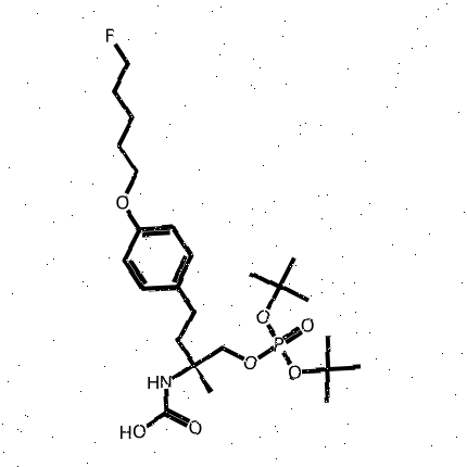 CC(C)(C)OP(=O)(OC[C@@](C)(CCc1ccc(OCCCCCF)cc1)NC(=O)O)OC(C)(C)C